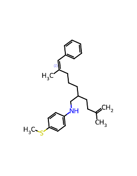 C=C(C)CCC(CCC/C(C)=C\c1ccccc1)CNc1ccc(SC)cc1